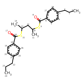 CCCc1ccc(C(=O)SC(C)CC(C)SC(=O)c2ccc(CCC)cc2)cc1